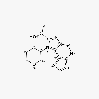 CC(O)c1nc2cnc3ccsc3c2n1C1CCCOC1